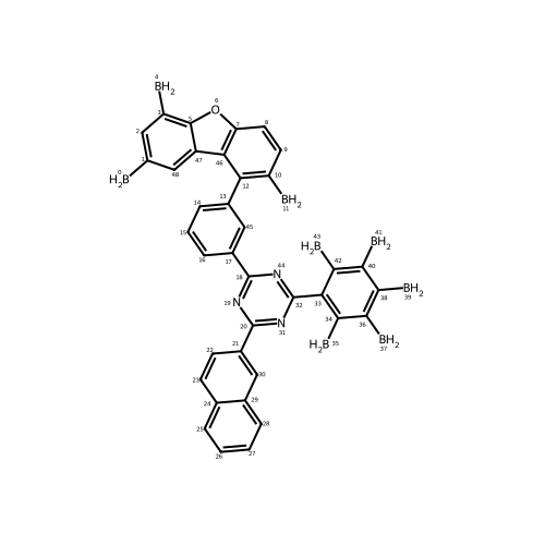 Bc1cc(B)c2oc3ccc(B)c(-c4cccc(-c5nc(-c6ccc7ccccc7c6)nc(-c6c(B)c(B)c(B)c(B)c6B)n5)c4)c3c2c1